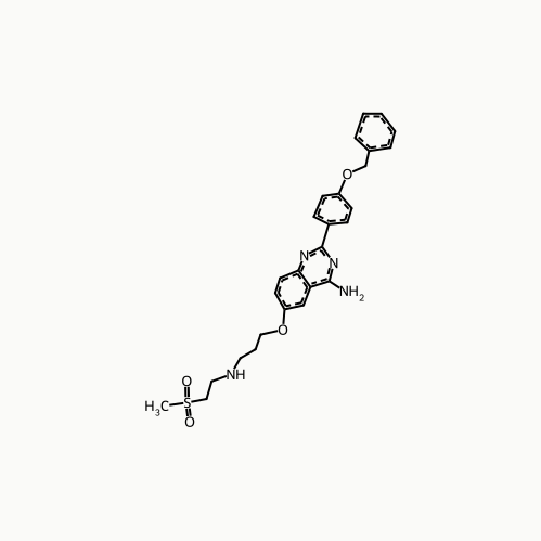 CS(=O)(=O)CCNCCCOc1ccc2nc(-c3ccc(OCc4ccccc4)cc3)nc(N)c2c1